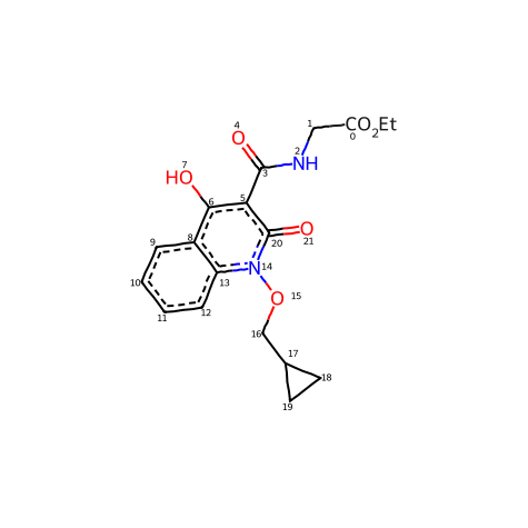 CCOC(=O)CNC(=O)c1c(O)c2ccccc2n(OCC2CC2)c1=O